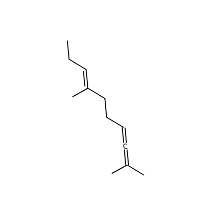 CC/C=C(\C)CCC=C=C(C)C